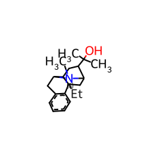 CC[C@]12CC3C(C(C)(C)O)CC1C(Cc1ccccc12)N3C